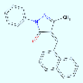 CC1=NN(c2ccccc2)C(=O)C1=Cc1cccc2ccccc12